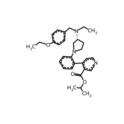 CCOc1ccc(CN(CC)[C@@H]2CCN(c3ccccc3-c3ccncc3C(=O)OC(C)C)C2)cc1